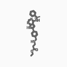 CCOC(=O)CCNCc1ccc(-c2cc3c(N[C@H](C)c4ccccc4)ncnc3[nH]2)cc1